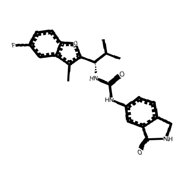 Cc1c([C@@H](NC(=O)Nc2ccc3c(c2)C(=O)NC3)C(C)C)oc2ccc(F)cc12